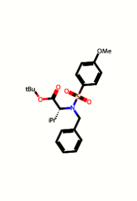 COc1ccc(S(=O)(=O)N(Cc2ccccc2)[C@@H](C(=O)OC(C)(C)C)C(C)C)cc1